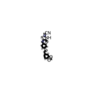 N#C/N=C1\NC(=O)/C(=C\c2ccc(OCc3ccc4c(c3)OCO4)cc2)S1